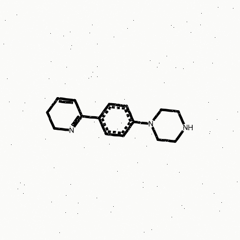 C1=CC(c2ccc(N3CCNCC3)cc2)=NCC1